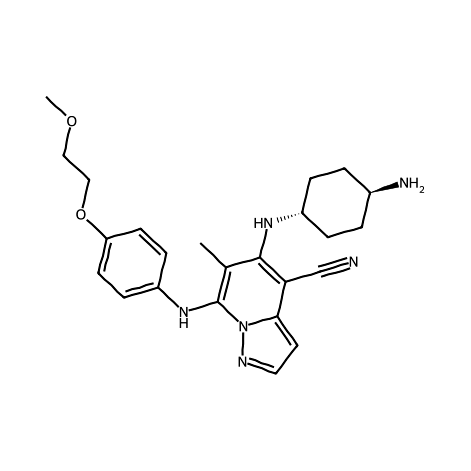 COCCOc1ccc(Nc2c(C)c(N[C@H]3CC[C@H](N)CC3)c(C#N)c3ccnn23)cc1